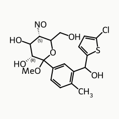 COC1(c2ccc(C)c(C(O)c3ccc(Cl)s3)c2)OC(CO)[C@@H](N=O)C(O)[C@H]1O